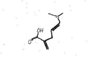 C=C(CC=CN(C)C)C(=O)O